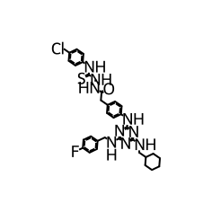 O=C(Cc1ccc(Nc2nc(NCc3ccc(F)cc3)nc(NCC3CCCCC3)n2)cc1)NNC(=S)Nc1ccc(Cl)cc1